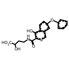 O=C(NCCC(O)C(=O)O)c1ncc2cc(Oc3ccccc3)ccc2c1O